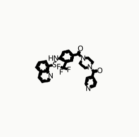 O=C(c1ccncc1)N1CCN(C(=O)c2ccc(NSc3cccc4cccnc34)c(C(F)(F)F)c2)CC1